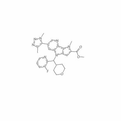 COC(=O)c1cc2c(c3ncc(-c4c(C)nnn4C)cc3n2C(c2ncccc2F)C2CCOCC2)n1C